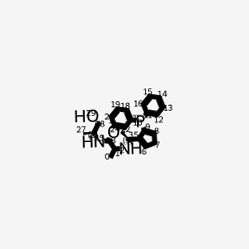 CC(N[C@@H](C)C1=CCC=C1P(c1ccccc1)c1ccccc1)C(=O)N[C@@H](C)CO